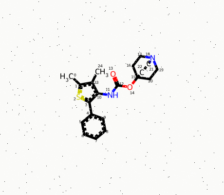 Cc1sc(-c2ccccc2)c(NC(=O)OC23CCN(CC2)CC3)c1C